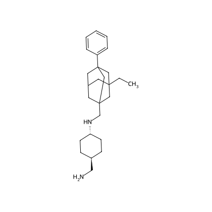 CCC12CC3CC(CN[C@H]4CC[C@H](CN)CC4)(C1)CC(c1ccccc1)(C3)C2